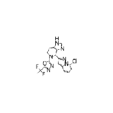 CC(F)(F)c1nnc(N2CCc3[nH]cnc3[C@H]2c2cc3cccc(Cl)n3n2)o1